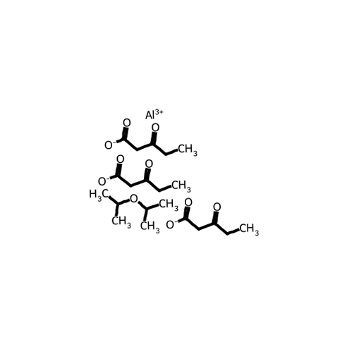 CC(C)OC(C)C.CCC(=O)CC(=O)[O-].CCC(=O)CC(=O)[O-].CCC(=O)CC(=O)[O-].[Al+3]